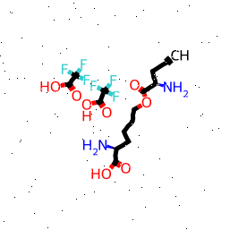 C#CC[C@@H](N)C(=O)OCCCC[C@H](N)C(=O)O.O=C(O)C(F)(F)F.O=C(O)C(F)(F)F